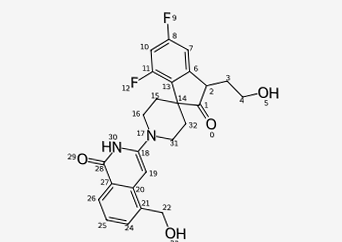 O=C1C(CCO)c2cc(F)cc(F)c2C12CCN(c1cc3c(CO)cccc3c(=O)[nH]1)CC2